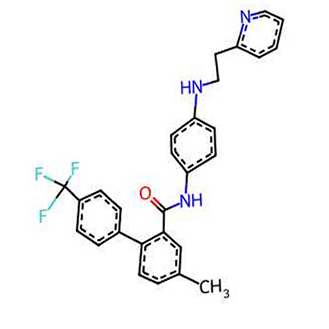 Cc1ccc(-c2ccc(C(F)(F)F)cc2)c(C(=O)Nc2ccc(NCCc3ccccn3)cc2)c1